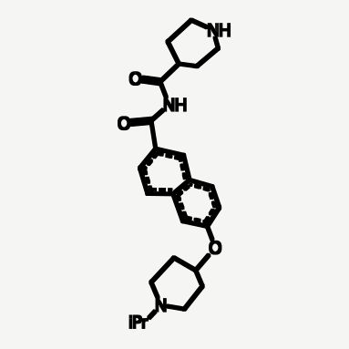 CC(C)N1CCC(Oc2ccc3cc(C(=O)NC(=O)C4CCNCC4)ccc3c2)CC1